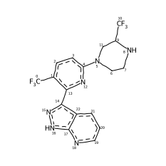 FC(F)(F)c1ccc(N2CCNC(C(F)(F)F)C2)nc1-c1n[nH]c2ncccc12